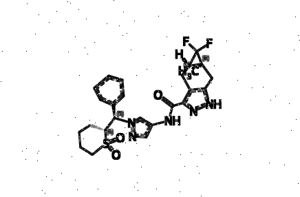 C[C@@]12Cc3[nH]nc(C(=O)Nc4cnn([C@H](c5ccccc5)[C@H]5CCCCS5(=O)=O)c4)c3C[C@@H]1C2(F)F